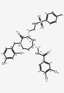 Cc1ccc(S(=O)(=O)NCC[C@@H]2N[C@H](CNC(=O)c3ccc(Cl)c(Cl)c3)CCN(Cc3ccc(Cl)cc3Cl)C2=O)cc1